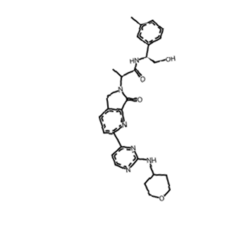 Cc1cccc([C@@H](CO)NC(=O)C(C)N2Cc3ccc(-c4ccnc(NC5CCOCC5)n4)nc3C2=O)c1